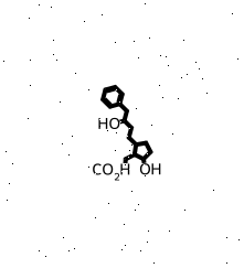 O=C(O)CC1C(O)CCC1CCC(O)Cc1ccccc1